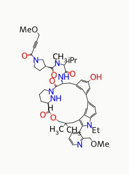 CCn1c(-c2cccnc2COC)c2c3cc(ccc31)-c1cc(O)cc(c1)C[C@H](NC(=O)C(C(C)C)N(C)C(=O)[C@H]1CCN(C(=O)C#CCOC)C1)C(=O)N1CCC[C@H](N1)C(=O)OCC(C)(C)C2